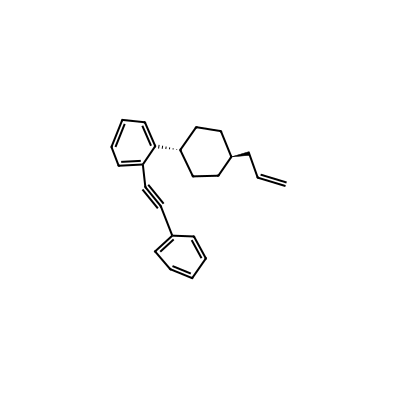 C=CC[C@H]1CC[C@H](c2ccccc2C#Cc2ccccc2)CC1